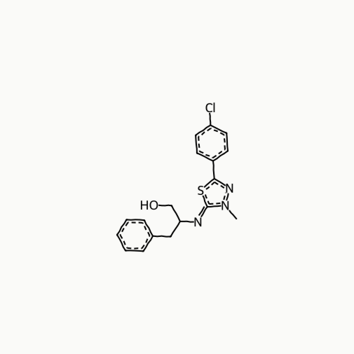 Cn1nc(-c2ccc(Cl)cc2)sc1=NC(CO)Cc1ccccc1